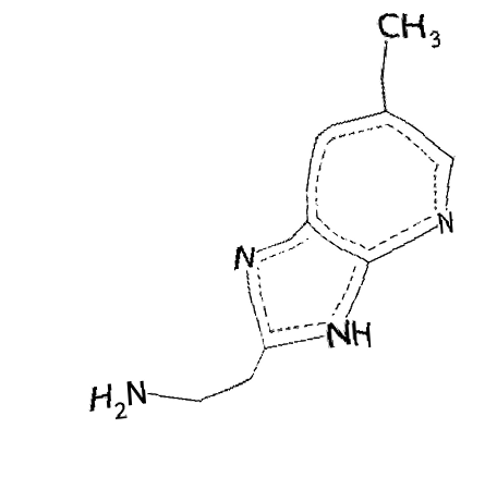 Cc1cnc2[nH]c(CN)nc2c1